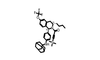 CCCC[C@H]1Cc2cc(OC(F)(F)F)ccc2[C@H](c2ccc(NC34CC5CC(CC(C5)C3)C4)cc2)N1C(=O)C#C[Si](C)(C)C